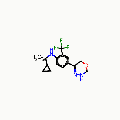 C[C@@H](Nc1ccc(C2=NNCOC2)cc1C(F)(F)F)C1CC1